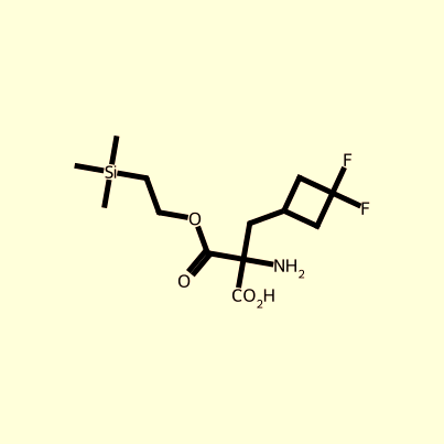 C[Si](C)(C)CCOC(=O)C(N)(CC1CC(F)(F)C1)C(=O)O